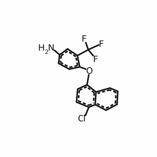 Nc1ccc(Oc2ccc(Cl)c3ccccc23)c(C(F)(F)F)c1